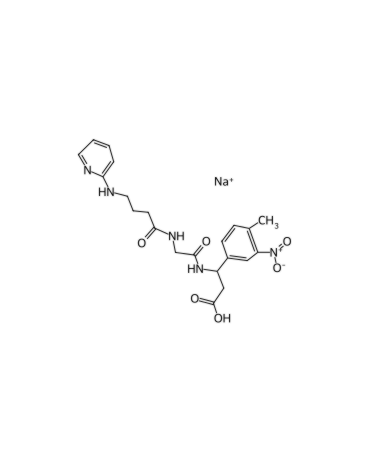 Cc1ccc(C(CC(=O)O)NC(=O)CNC(=O)CCCNc2ccccn2)cc1[N+](=O)[O-].[Na+]